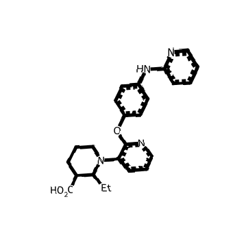 CCC1C(C(=O)O)CCCN1c1cccnc1Oc1ccc(Nc2ccccn2)cc1